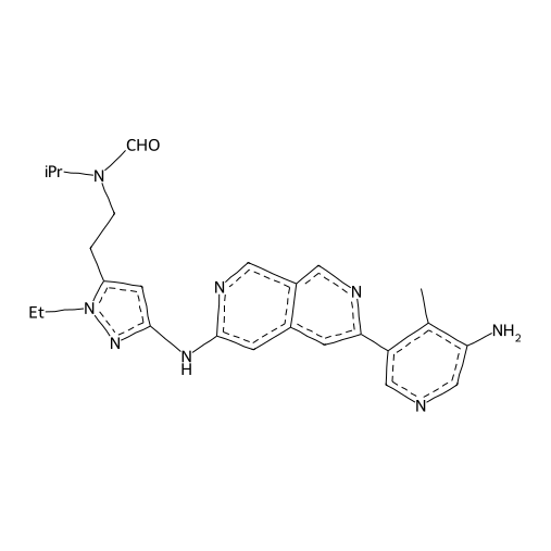 CCn1nc(Nc2cc3cc(-c4cncc(N)c4C)ncc3cn2)cc1CCN(C=O)C(C)C